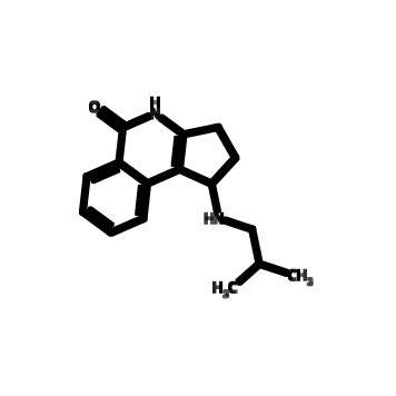 CC(C)CNC1CCc2[nH]c(=O)c3ccccc3c21